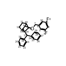 Fc1cc(F)cc(COC2C3CCN(CC3)C2C(c2ccccc2)c2ccccc2)c1